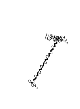 CC(=O)OCCOCCOCCOCCOCCOCCOCCOCCC[Si](C)(O[Si](C)(C)C)O[Si](C)(C)C